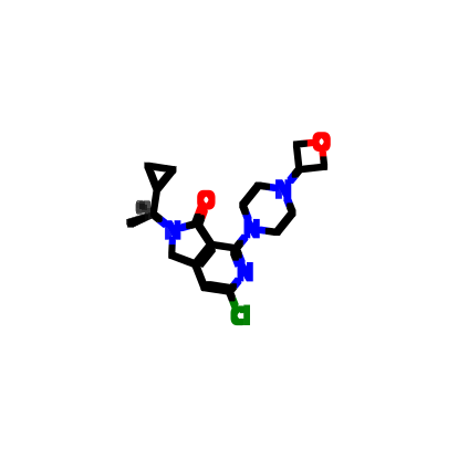 C[C@@H](C1CC1)N1Cc2cc(Cl)nc(N3CCN(C4COC4)CC3)c2C1=O